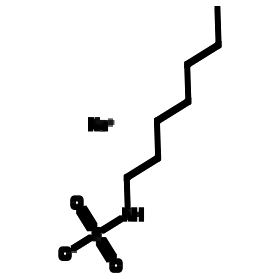 CCCCCCCNS(=O)(=O)[O-].[Na+]